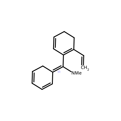 C=CC1=C(/C(NC)=C2/C=CC=CC2)C=CCC1